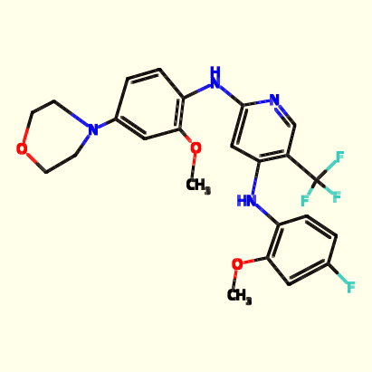 COc1cc(N2CCOCC2)ccc1Nc1cc(Nc2ccc(F)cc2OC)c(C(F)(F)F)cn1